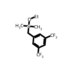 CCO[Si](C)(C)Cc1cc(C(F)(F)F)cc(C(F)(F)F)c1